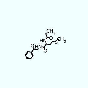 CCC(=O)NC(CCSC)C(=O)NCC(=O)c1ccccc1